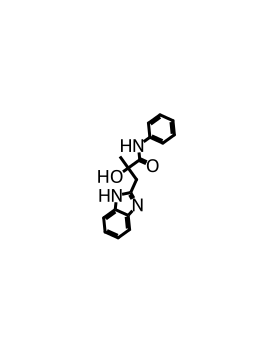 CC(O)(Cc1nc2ccccc2[nH]1)C(=O)Nc1ccccc1